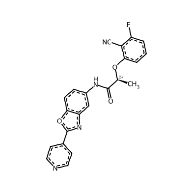 C[C@H](Oc1cccc(F)c1C#N)C(=O)Nc1ccc2oc(-c3ccncc3)nc2c1